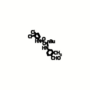 CCCCC(CNc1ccc(C=O)c(C)c1)OC(=O)Nc1ccc(Cl)c(Cl)c1